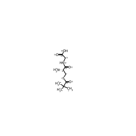 CC(C)(C)C(=O)SC[C@H](N)C(=O)NCC(=O)O